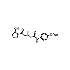 COc1ccc(NC(=O)CNCC(=O)N2CCCC2C#N)cc1